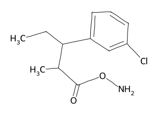 CCC(c1cccc(Cl)c1)C(C)C(=O)ON